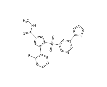 CNC(=O)c1cc(-c2ccccc2F)n(S(=O)(=O)c2cncc(-c3cccs3)c2)c1